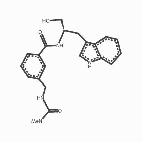 CNC(=O)NCc1cccc(C(=O)N[C@@H](CO)Cc2c[nH]c3ccccc23)c1